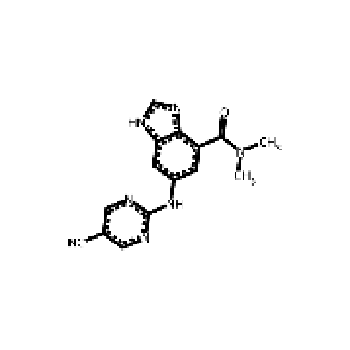 CN(C)C(=O)c1cc(Nc2ncc(C#N)cn2)cc2[nH]cnc12